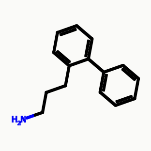 NCCCc1ccccc1-c1ccccc1